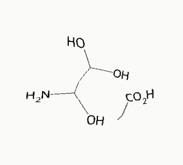 CC(=O)O.NC(O)C(O)O